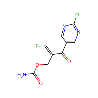 NC(=O)OCC(=CF)C(=O)c1cnc(Cl)nc1